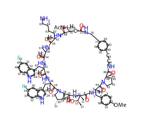 COc1ccc(C[C@@H]2NC(=O)[C@](C)([C@@H](C)O)NC(=O)[C@@H]3C[C@H](C)CN3C(=O)[C@H](Cc3c[nH]c4ccc(F)cc34)NC(=O)[C@H](Cc3c[nH]c4ccc(F)cc34)NC(=O)[C@@H](C)NC(=O)[C@H](CCCCN)NC(=O)[C@@H](NC(C)=O)CC(=O)NCc3ccc(cc3)CCNC(=O)[C@]3(C)CCCN3C2=O)cc1